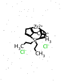 CCC[Si]1(CCC)C2=CC[C](=C2C)[Zr+2][C]2=C(C)C1=CC2.[Cl-].[Cl-]